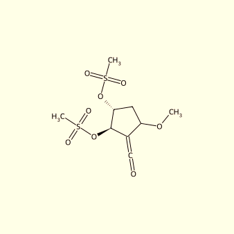 COC1C[C@@H](OS(C)(=O)=O)[C@H](OS(C)(=O)=O)C1=C=O